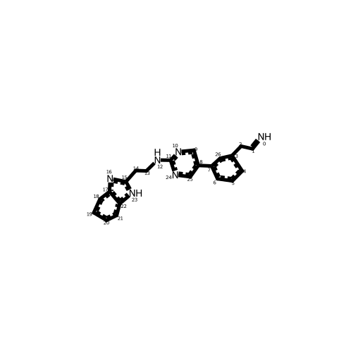 N=CCc1cccc(-c2cnc(NCCc3nc4ccccc4[nH]3)nc2)c1